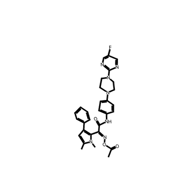 CC(=O)ON=C(C(=O)Nc1ccc(N2CCN(c3ncc(F)cn3)CC2)cc1)c1c(-c2ccccc2)cc(C)n1C